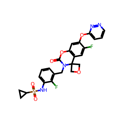 O=C1Oc2cc(Oc3cccnn3)c(F)cc2C2(COC2)N1Cc1cccc(NS(=O)(=O)C2CC2)c1F